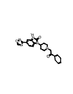 O=C(CN1CCC(n2c(=O)[nH]c3cc(-c4ncon4)ccc32)CC1)C1CCCCC1